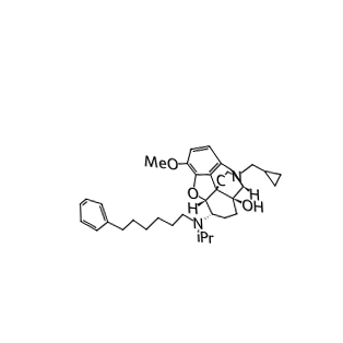 COc1ccc2c3c1O[C@H]1[C@@H](N(CCCCCCc4ccccc4)C(C)C)CC[C@@]4(O)[C@@H](C2)N(CC2CC2)CC[C@]314